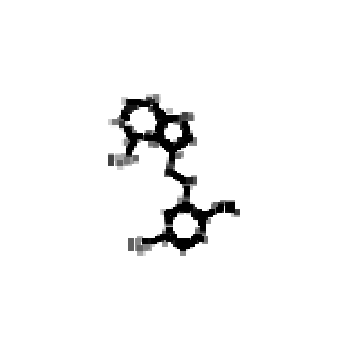 Cc1ccc(N)cc1OCc1csc2ncnc(N)c12